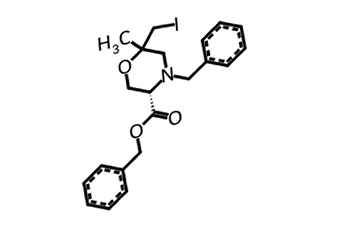 CC1(CI)CN(Cc2ccccc2)[C@H](C(=O)OCc2ccccc2)CO1